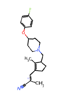 CC1=C(/C=C(\C)C#N)CCC1CN1CCC(Oc2ccc(F)cc2)CC1